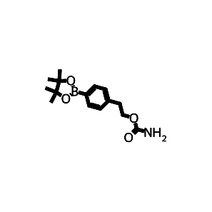 CC1(C)OB(c2ccc(CCOC(N)=O)cc2)OC1(C)C